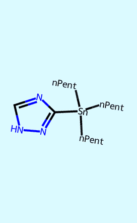 CCCC[CH2][Sn]([CH2]CCCC)([CH2]CCCC)[c]1nc[nH]n1